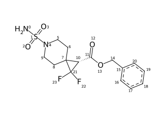 NS(=O)(=O)N1CCC2(CC1)[C@H](C(=O)OCc1ccccc1)C2(F)F